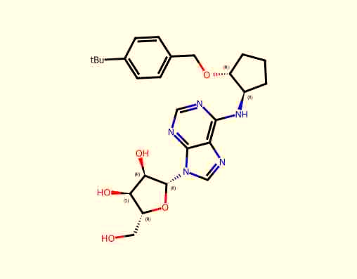 CC(C)(C)c1ccc(CO[C@@H]2CCC[C@H]2Nc2ncnc3c2ncn3[C@@H]2O[C@H](CO)[C@@H](O)[C@H]2O)cc1